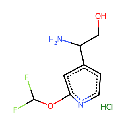 Cl.NC(CO)c1ccnc(OC(F)F)c1